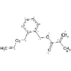 C=COCc1ccccc1COC(=O)C(=C)C